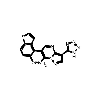 COc1ccc2sccc2c1-c1cnc2c(-c3nnn[nH]3)cnn2c1N